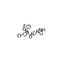 O=C(c1cn(C(=O)c2ccccc2F)c2cc(Cl)ccc12)N1CCC(N2[CH]Nc3ccccc32)CC1